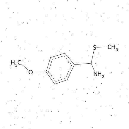 COc1ccc(C(N)SC)cc1